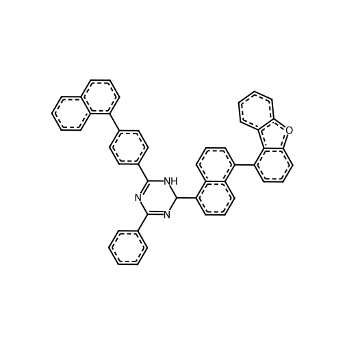 c1ccc(C2=NC(c3cccc4c(-c5cccc6oc7ccccc7c56)cccc34)NC(c3ccc(-c4cccc5ccccc45)cc3)=N2)cc1